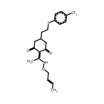 C/C=C/CONC(C)=C1C(=O)CC(CCSc2ccc(C(F)(F)F)cc2)CC1=O